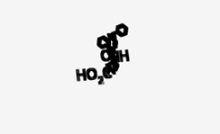 O=C(O)N1CCC(NC(=O)N2CCN(Cc3ccccc3)c3ccccc32)C1